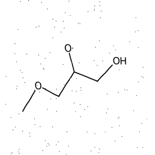 COCC([O])CO